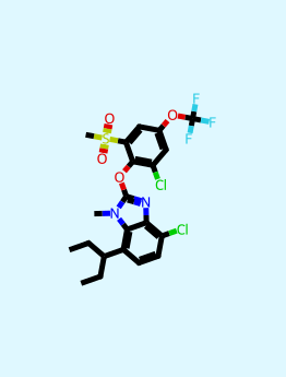 CCC(CC)c1ccc(Cl)c2nc(Oc3c(Cl)cc(OC(F)(F)F)cc3S(C)(=O)=O)n(C)c12